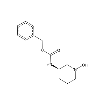 O=C(N[C@@H]1CCCN(O)C1)OCc1ccccc1